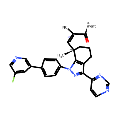 CCC[C@H](C)C(=O)/C(C#N)=C\[C@]1(C)CCCc2c(-c3ccncn3)nn(-c3ccc(-c4cncc(F)c4)cc3)c21